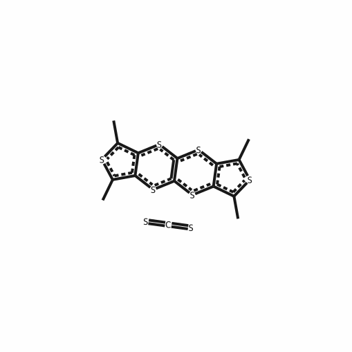 Cc1sc(C)c2sc3sc4c(C)sc(C)c4sc=3sc12.S=C=S